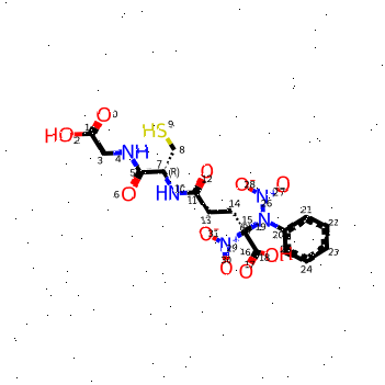 O=C(O)CNC(=O)[C@H](CS)NC(=O)CC[C@@](C(=O)O)(N(c1ccccc1)[N+](=O)[O-])[N+](=O)[O-]